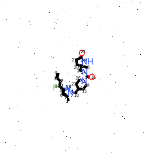 C=CCC(F)c1cc(C)n(CC2CCN(C(=O)N3CC4(CCC(=O)N4)C3)CC2)n1